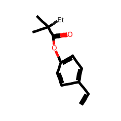 C=Cc1ccc(OC(=O)C(C)(C)CC)cc1